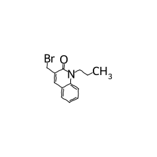 CCCn1c(=O)c(CBr)cc2ccccc21